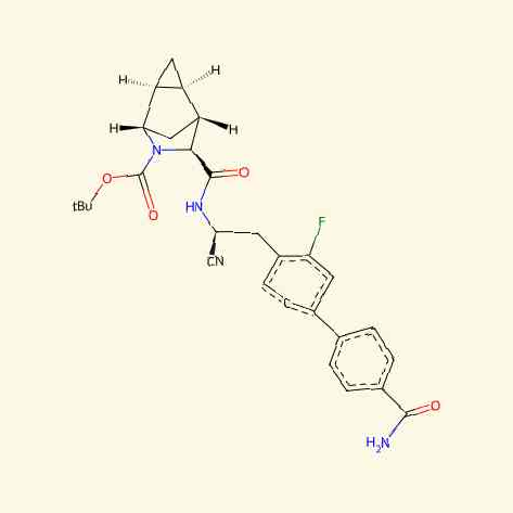 CC(C)(C)OC(=O)N1[C@H](C(=O)N[C@H](C#N)Cc2ccc(-c3ccc(C(N)=O)cc3)cc2F)[C@@H]2C[C@H]1[C@H]1C[C@@H]21